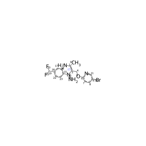 C/C(N)=C(\COc1ccc(Br)cn1)N(N)c1ccc(C(F)F)cc1